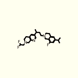 CC(C)c1cc(F)c2c(c1)CCN(CCC(C)c1cnc3c(c1)CCN(CC(F)F)C3)C2